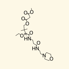 CCO[C@@H](C(=O)NCCC(=O)NCCN1CCOCC1)C(C)(C)COC(=O)CC(=O)OC